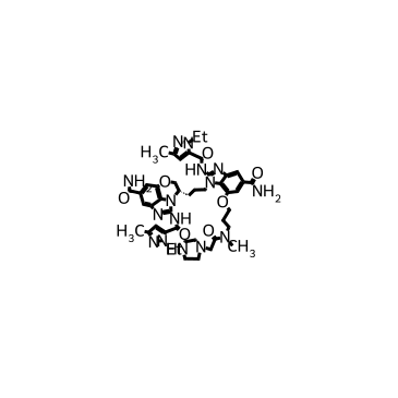 CCn1nc(C)cc1C(=O)Nc1nc2cc(C(N)=O)cc(OCCCN(C)C(=O)CN3CCNCC3)c2n1CCC[C@H]1COc2cc(C(N)=O)cc3nc(NC(=O)c4cc(C)nn4CC)n1c23